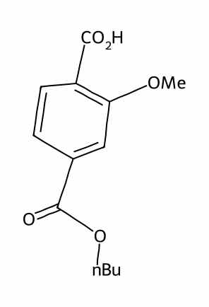 CCCCOC(=O)c1ccc(C(=O)O)c(OC)c1